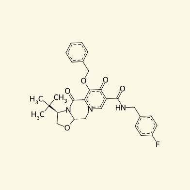 CC(C)(C)[C@@H]1COC2Cn3cc(C(=O)NCc4ccc(F)cc4)c(=O)c(OCc4ccccc4)c3C(=O)N21